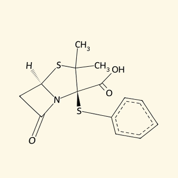 CC1(C)S[C@@H]2CC(=O)N2[C@@]1(Sc1ccccc1)C(=O)O